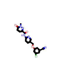 Cn1nc(C(=O)Nc2ccc(COc3cc(Cl)cc(C#N)c3)cn2)ccc1=O